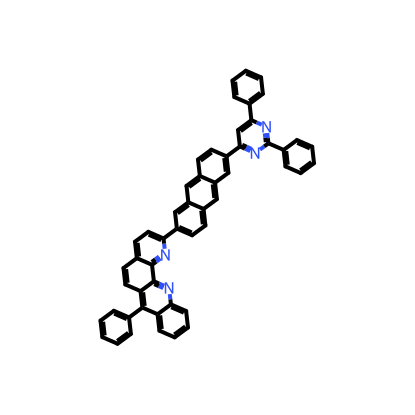 c1ccc(-c2cc(-c3ccc4cc5cc(-c6ccc7ccc8c(-c9ccccc9)c9ccccc9nc8c7n6)ccc5cc4c3)nc(-c3ccccc3)n2)cc1